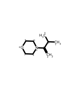 C=C(C(C)C)N1CCOCC1